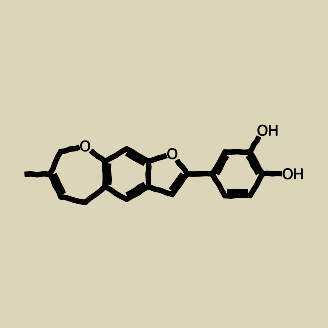 CC1=CCc2cc3cc(-c4ccc(O)c(O)c4)oc3cc2OC1